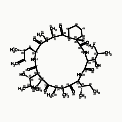 C=C[C@H](C)C[C@@H]1NC(=O)[C@H]([C@@H](O)C(C)C)N(C)C(=O)[C@H](C)N(C)C(=O)C([C@@H](C)CC)NC(=O)C([C@H](O)C(C)C)NC(=O)[C@H]2CCCCN2C(=O)[C@H](C)N(C)C1=O